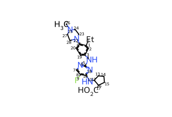 CCc1cc(Nc2ncc(F)c(NC3CCCC3C(=O)O)n2)ccc1N1CCN(C)CC1